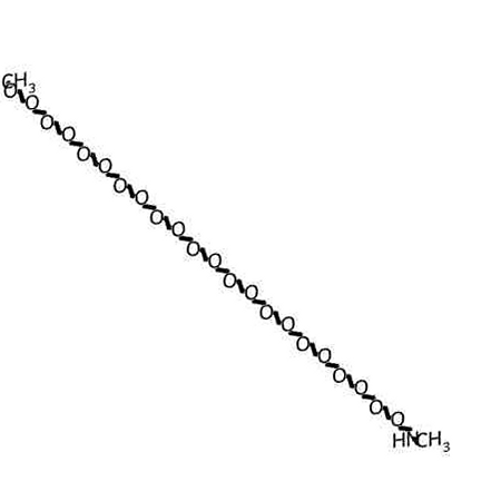 CNCCOCCOCCOCCOCCOCCOCCOCCOCCOCCOCCOCCOCCOCCOCCOCCOCCOCCOCCOCCOCCOCCOC